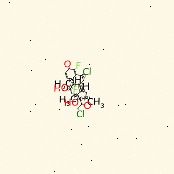 C[C@@H]1C[C@H]2[C@@H]3C[C@H](Cl)C4=C(F)C(=O)C=C[C@]4(C)[C@@]3(F)[C@@H](O)C[C@]2(C)[C@@]1(O)C(=O)CCl